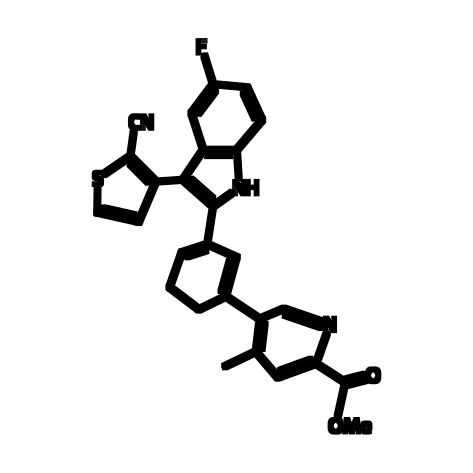 COC(=O)c1cc(C)c(C2=CC(c3[nH]c4ccc(F)cc4c3-c3ccsc3C#N)=CCC2)cn1